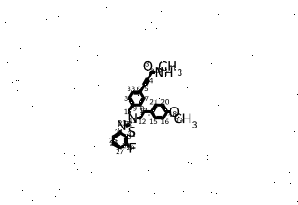 CNC(=O)C#Cc1ccc(CN(CCc2ccc(OC)cc2)c2nc3cccc(F)c3s2)cc1